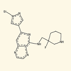 CCn1cc(-c2cc3nccnc3c(NCC3(F)CCCNC3)n2)cn1